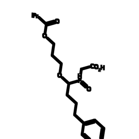 CC(C)C(=O)OCCCOC(CCCc1ccccc1)[PH](=O)CC(=O)O